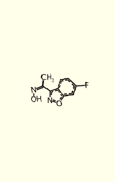 C/C(=N/O)c1noc2cc(F)ccc12